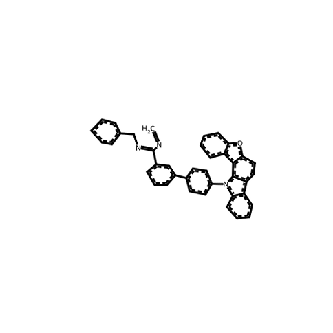 C=N/C(=N\Cc1ccccc1)c1cccc(-c2ccc(-n3c4ccccc4c4ccc5oc6ccccc6c5c43)cc2)c1